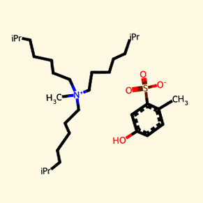 CC(C)CCCCC[N+](C)(CCCCCC(C)C)CCCCCC(C)C.Cc1ccc(O)cc1S(=O)(=O)[O-]